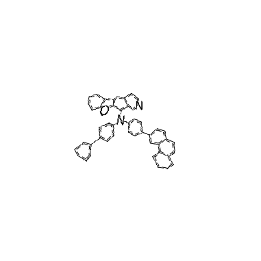 c1ccc(-c2ccc(N(c3ccc(-c4ccc5ccc6ccccc6c5c4)cc3)c3c4cnccc4cc4c3oc3ccccc34)cc2)cc1